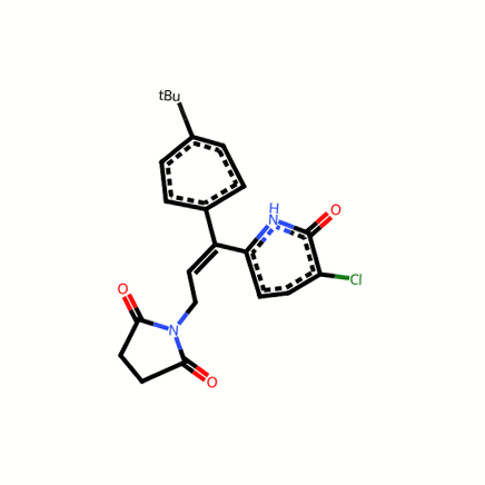 CC(C)(C)c1ccc(C(=CCN2C(=O)CCC2=O)c2ccc(Cl)c(=O)[nH]2)cc1